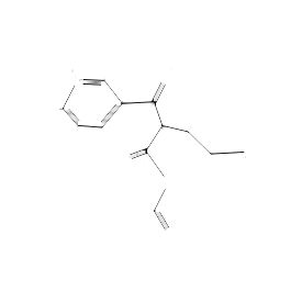 C=COC(=O)C(CCC)C(=O)c1cccnc1